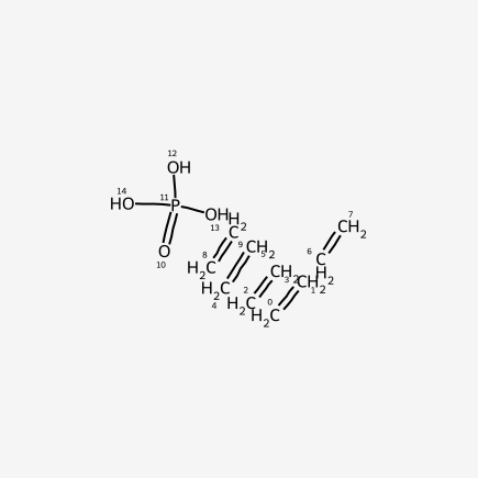 C=C.C=C.C=C.C=C.C=C.O=P(O)(O)O